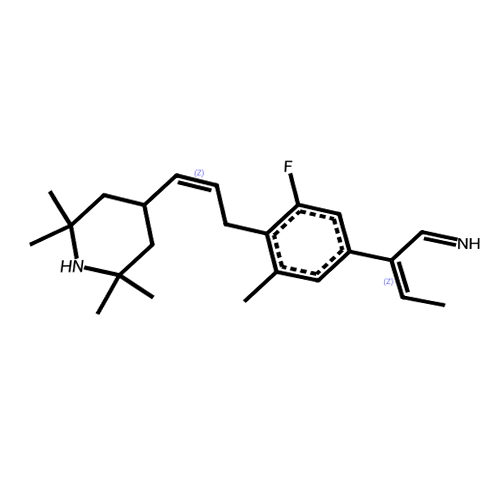 C/C=C(\C=N)c1cc(C)c(C/C=C\C2CC(C)(C)NC(C)(C)C2)c(F)c1